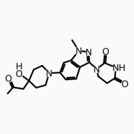 CC(=O)CC1(O)CCN(c2ccc3c(N4CCC(=O)NC4=O)nn(C)c3c2)CC1